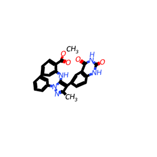 COC(=O)c1ccccc1Nc1c(-c2ccc3[nH]c(=O)[nH]c(=O)c3c2)c(C)nn1-c1ccccc1